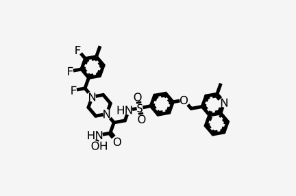 Cc1cc(COc2ccc(S(=O)(=O)NCC(C(=O)NO)N3CCN(C(F)c4ccc(C)c(F)c4F)CC3)cc2)c2ccccc2n1